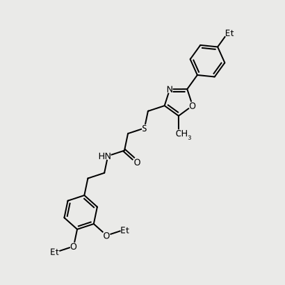 CCOc1ccc(CCNC(=O)CSCc2nc(-c3ccc(CC)cc3)oc2C)cc1OCC